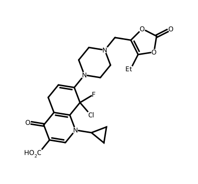 CCc1oc(=O)oc1CN1CCN(C2=CCc3c(n(C4CC4)cc(C(=O)O)c3=O)C2(F)Cl)CC1